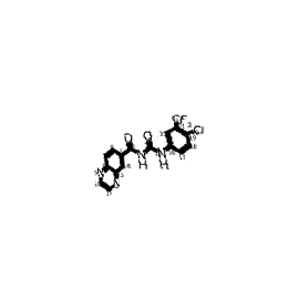 O=C(NC(=O)c1ccc2nccnc2c1)Nc1ccc(Cl)c(C(F)(F)F)c1